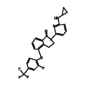 O=C1c2cccc(Oc3ccc(C(F)(F)F)cc3F)c2CCN1c1cccc(NC2CC2)n1